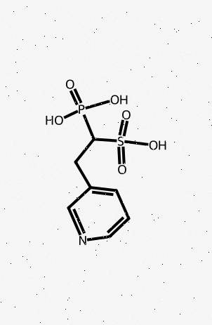 O=P(O)(O)C(Cc1cccnc1)S(=O)(=O)O